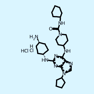 Cl.Cl.N[C@H]1CC[C@H](Nc2nc(NC3CCN(C(=O)NC4CCCCC4)CC3)c3ncn(C4CCCC4)c3n2)CC1